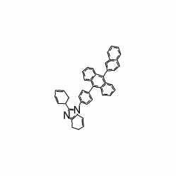 C1=CCC(c2nc3c(n2-c2ccc(-c4c5ccccc5c(-c5ccc6ccccc6c5)c5ccccc45)cc2)C=CCC3)C=C1